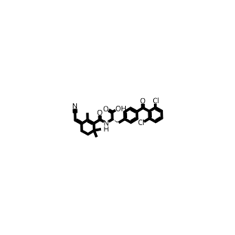 CC1=C(C(=O)N[C@@H](Cc2ccc(C(=O)c3c(Cl)cccc3Cl)cc2)C(=O)O)C(C)(C)CCC1=CC#N